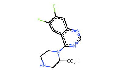 O=C(O)C1CNCCN1c1ncnc2cc(F)c(F)cc12